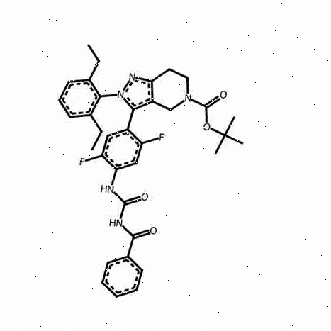 CCc1cccc(CC)c1-n1nc2c(c1-c1cc(F)c(NC(=O)NC(=O)c3ccccc3)cc1F)CN(C(=O)OC(C)(C)C)CC2